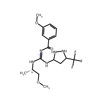 COC[C@H](C)N/C(=N/C(=O)c1cccc(OC)c1)NC1CC(C(F)(F)F)NN1